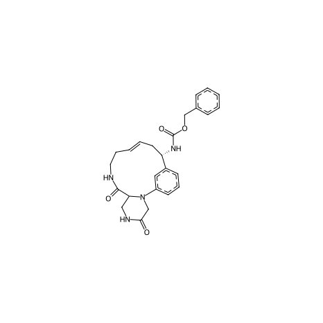 O=C1CN2c3cccc(c3)[C@@H](NC(=O)OCc3ccccc3)C/C=C/CCNC(=O)C2CN1